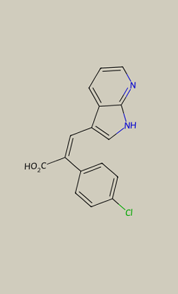 O=C(O)C(=Cc1c[nH]c2ncccc12)c1ccc(Cl)cc1